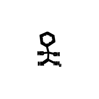 N=C(N)C(O)(O)c1ccccc1